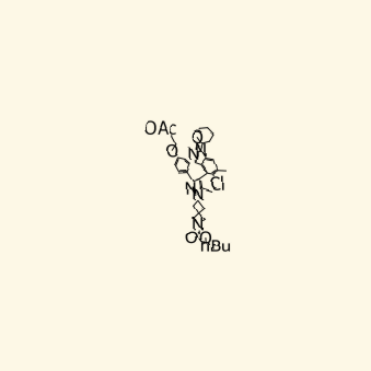 CCCCOC(=O)N1CC2(CC(n3nc(-c4ccc(OCCOC(C)=O)cc4)c(-c4c(Cl)c(C)cc5c4cnn5C4CCCCO4)c3C)C2)C1